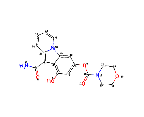 NC(=O)c1c2c(O)cc(OC(=O)N3CCOCC3)cc2n2ccccc12